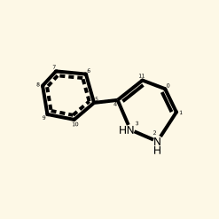 C1=CNNC(c2ccccc2)=C1